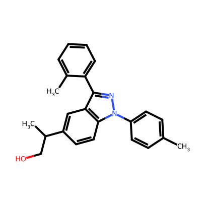 Cc1ccc(-n2nc(-c3ccccc3C)c3cc(C(C)CO)ccc32)cc1